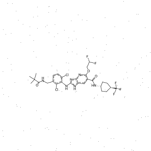 CC(C)(C)C(=O)NCc1ccc(Cl)c(Nc2nc3nc(OCC(F)F)c(C(=O)N[C@H]4CC[C@H](C(F)(F)F)CC4)cc3[nH]2)c1Cl